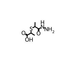 CC(SC(C)C(=O)NN)C(=O)O